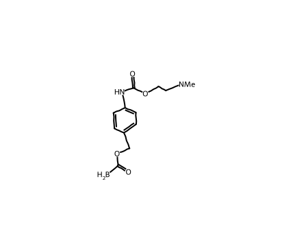 BC(=O)OCc1ccc(NC(=O)OCCNC)cc1